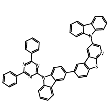 c1ccc(-c2nc(-c3ccccc3)nc(-n3c4ccccc4c4cc(-c5ccc6sc7ncc(-n8c9ccccc9c9ccccc98)cc7c6c5)ccc43)n2)cc1